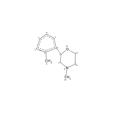 Cc1ccccc1C1CN(C)CCO1